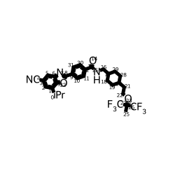 CC(C)c1cc(C#N)cc2nc(-c3ccc(C(=O)NCC4CCC(CCOC(C)(C(F)(F)F)C(F)(F)F)CC4)cc3)oc12